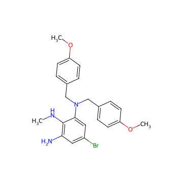 CNc1c(N)cc(Br)cc1N(Cc1ccc(OC)cc1)Cc1ccc(OC)cc1